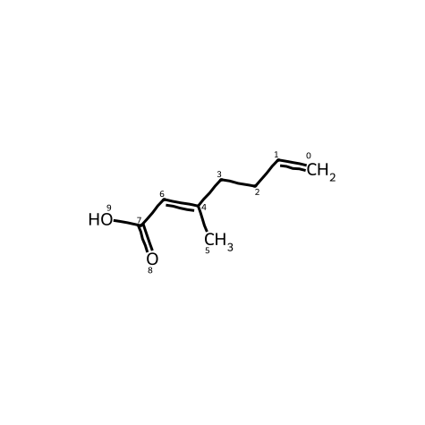 C=CCC/C(C)=C/C(=O)O